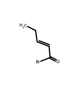 CCC=CC(=O)Br